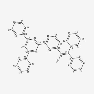 FC(=C(c1ccccc1)c1ccccc1)c1cccc(-c2cc(-c3ccccc3)cc(-c3ccccc3)c2)c1